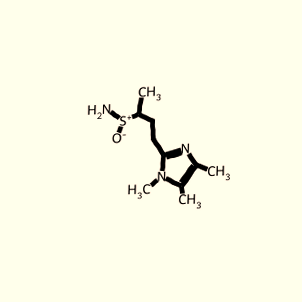 Cc1nc(CCC(C)[S+](N)[O-])n(C)c1C